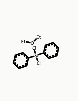 CCOCC.Cl[Si](Cl)(c1ccccc1)c1ccccc1